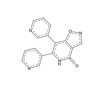 O=c1[nH]c(-c2cccnc2)c(-c2cccnc2)c2oncc12